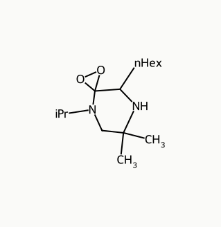 CCCCCCC1NC(C)(C)CN(C(C)C)C12OO2